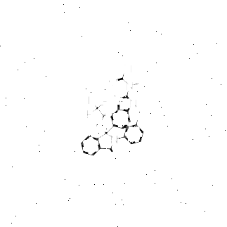 CN(C(=O)O)c1nc2cc(C3(OC(=O)C(F)(F)F)c4ccccc4C(=O)N3c3cccc(F)c3)ccc2[nH]1